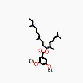 C/C=C(\C)CC/C=C(\C)CC/C(OC(=O)c1cc(OCC)cc(OCC)c1)=C(/C)CCC=C(C)C